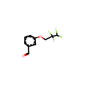 O=Cc1cccc(OCC(F)(F)C(F)F)c1